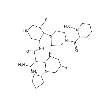 CN1CCCCC1C(=O)N1CCN(C2C(F)CNCC2NC(=O)C(C(N)N)C2NCC(F)CN2C2CCCC2)CC1